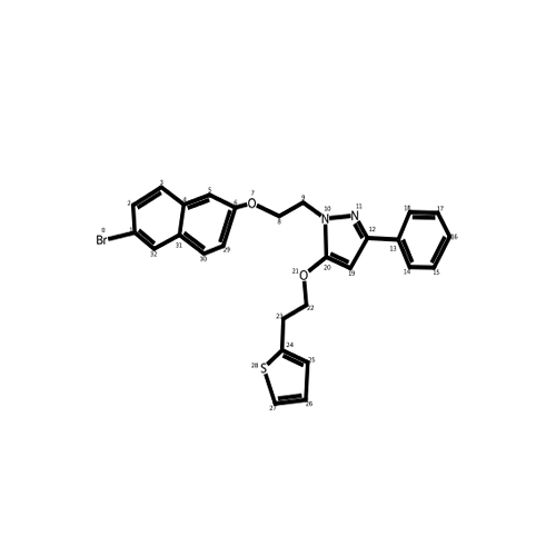 Brc1ccc2cc(OCCn3nc(-c4ccccc4)cc3OCCc3cccs3)ccc2c1